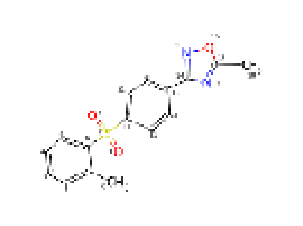 Cc1ccccc1S(=O)(=O)c1ccc(-c2noc(C(F)(F)F)n2)cc1